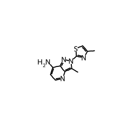 Cc1csc(-n2nc3c(N)ccnc3c2C)n1